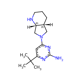 CC(C)(C)c1cc(N2C[C@H]3CCCN[C@H]3C2)nc(N)n1